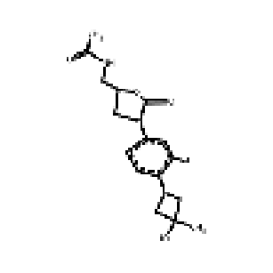 CC(=O)NCC1CN(c2ccc(N3CC(C)(O)C3)c(F)c2)C(=O)O1